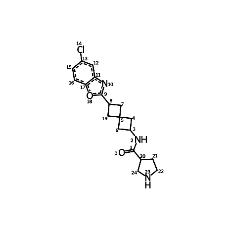 O=C(NC1CC2(C1)CC(c1nc3cc(Cl)ccc3o1)C2)C1CCNC1